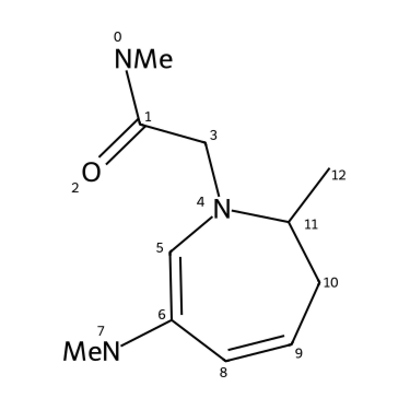 CNC(=O)CN1C=C(NC)C=CCC1C